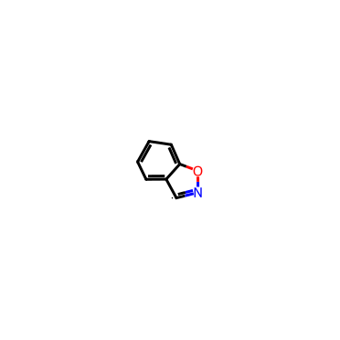 [c]1noc2ccccc12